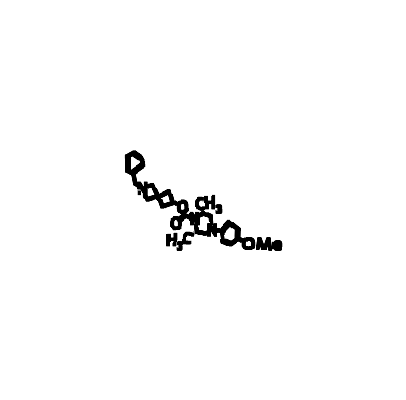 COc1ccc(N2C[C@@H](C)N(C(=O)OC3CC4(C3)CN(Cc3ccccc3)C4)[C@@H](C)C2)cc1